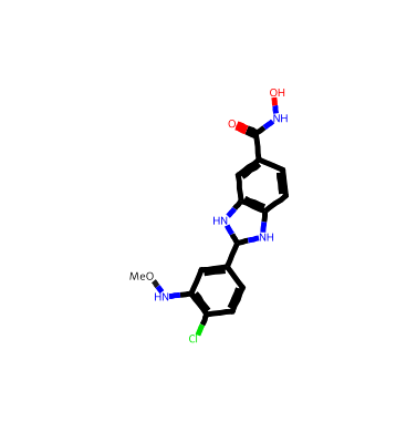 CONc1cc(C2Nc3ccc(C(=O)NO)cc3N2)ccc1Cl